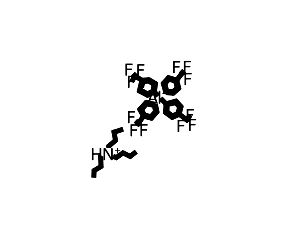 CCCC[NH+](CCCC)CCCC.FC(F)(F)c1cc[c]([Al-]([c]2ccc(C(F)(F)F)cc2)([c]2ccc(C(F)(F)F)cc2)[c]2ccc(C(F)(F)F)cc2)cc1